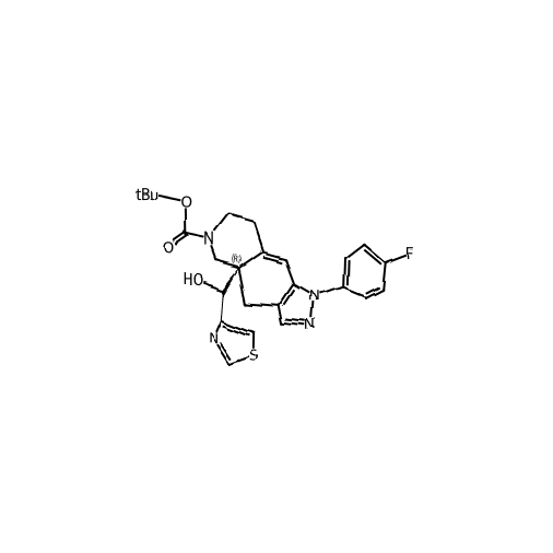 CC(C)(C)OC(=O)N1CCC2=Cc3c(cnn3-c3ccc(F)cc3)C[C@]2(C(O)c2cscn2)C1